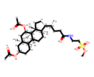 COS(=O)(=O)CCNC(=O)CC[C@@H](C)[C@H]1CC[C@H]2[C@@H]3[C@H](OC(C)=O)C[C@@H]4C[C@H](OC(C)=O)CC[C@]4(C)[C@H]3CC[C@]12C